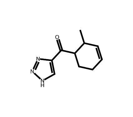 CC1C=CCCC1C(=O)c1c[nH]nn1